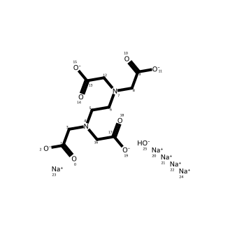 O=C([O-])CN(CCN(CC(=O)[O-])CC(=O)[O-])CC(=O)[O-].[Na+].[Na+].[Na+].[Na+].[Na+].[OH-]